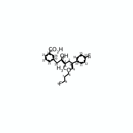 CC(CC(=COCCCF)c1ccc(F)cc1)=C(O)Cc1cccc(C(=O)O)c1